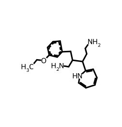 CCOc1cccc(CC(CN)C(CCN)C2=CC=CC=CN2)c1